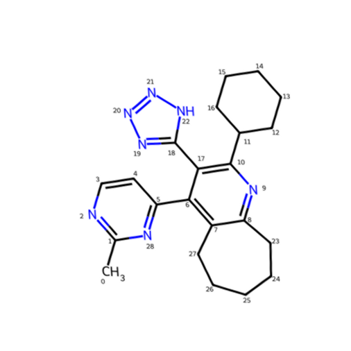 Cc1nccc(-c2c3c(nc(C4CCCCC4)c2-c2nnn[nH]2)CCCCC3)n1